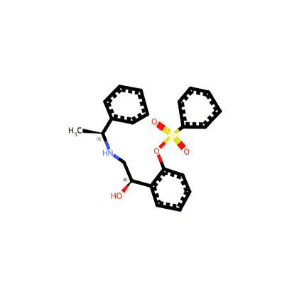 C[C@H](NC[C@H](O)c1ccccc1OS(=O)(=O)c1ccccc1)c1ccccc1